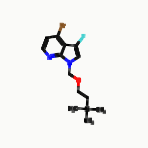 C[Si](C)(C)CCOCn1cc(F)c2c(Br)ccnc21